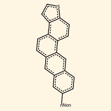 CCCCCCCCCc1ccc2cc3c(ccc4c5ccsc5ccc34)cc2c1